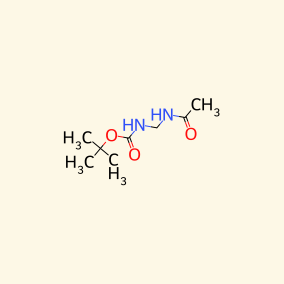 CC(=O)NCNC(=O)OC(C)(C)C